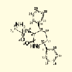 C[C@H](N)C(=O)N[C@@H]1C(=O)N[C@H](c2ccccc2)CC[C@@H]1c1ccccc1